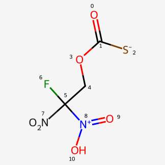 O=C([S-])OCC(F)([N+](=O)[O-])[N+](=O)O